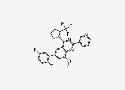 COc1cc(-c2cc(F)ccc2F)cc2c(N3CCCC3C(F)(F)F)nc(-c3cccnc3)nc12